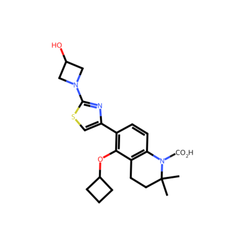 CC1(C)CCc2c(ccc(-c3csc(N4CC(O)C4)n3)c2OC2CCC2)N1C(=O)O